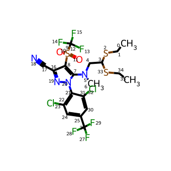 CCSC(CN(C)c1c(S(=O)(=O)C(F)(F)F)c(C#N)nn1-c1c(Cl)cc(C(F)(F)F)cc1Cl)SCC